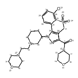 O=C(c1nn(C2CCCN(CCN3CCOCC3)C2)c2c1CS(=O)(=O)c1c(Cl)cccc1-2)N1CCOCC1